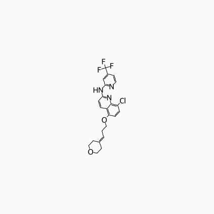 FC(F)(F)c1ccnc(Nc2ccc3c(OCCC=C4CCOCC4)ccc(Cl)c3n2)c1